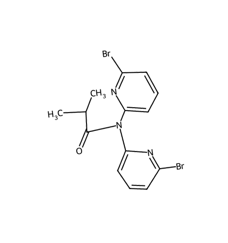 CC(C)C(=O)N(c1cccc(Br)n1)c1cccc(Br)n1